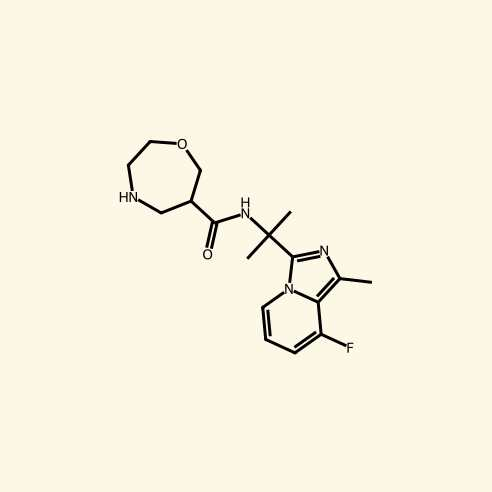 Cc1nc(C(C)(C)NC(=O)C2CNCCOC2)n2cccc(F)c12